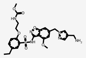 CCc1ccc(OCCNC(=O)OC)c(S(=O)(=O)Nc2noc3cc(Cn4cc(CN)cn4)cc(OC)c23)c1